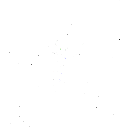 O=C(NN1CCCCC1)c1nn(-c2ccc(Cl)cc2Cl)c2c1CCc1cc(Cl)sc1-2